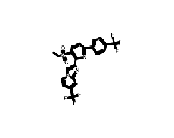 CCS(=O)(=O)c1ccc(-c2ccc(C(F)(F)F)cc2)nc1-c1cn2ccc(C(F)(F)F)cc2n1